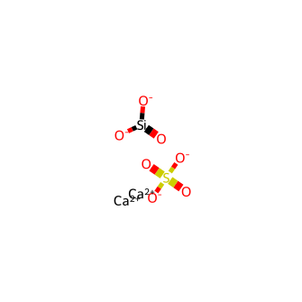 O=S(=O)([O-])[O-].O=[Si]([O-])[O-].[Ca+2].[Ca+2]